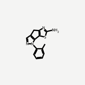 Cc1ccccc1-n1ncc2c1-c1sc(N)nc1C2